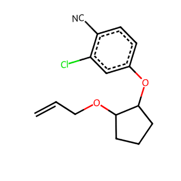 C=CCOC1CCCC1Oc1ccc(C#N)c(Cl)c1